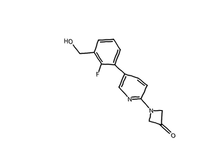 O=C1CN(c2ccc(-c3cccc(CO)c3F)cn2)C1